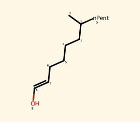 CCCCCC(C)CCCCC=CO